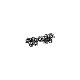 O=C1c2cccc(Oc3ccc(Oc4cccc5c4C(=O)N(c4ccccc4)C5=O)cc3)c2C(=O)N1c1ccccc1